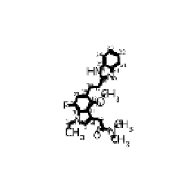 CCn1cc(CC(=O)N(C)C)c2c(OC)c(CCc3nc4ccccc4[nH]3)cc(F)c21